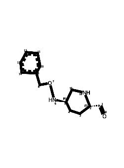 O=C[C@@H]1CC[C@@H](NOCc2ccccc2)CN1